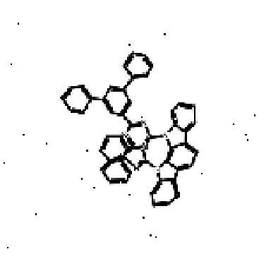 c1ccc(-c2cc(-c3ccccc3)cc(-c3nc(-c4ccccc4)nc(-n4c5ccccc5c5ccc6c7ccccc7n(-c7nc8ccccc8o7)c6c54)n3)c2)cc1